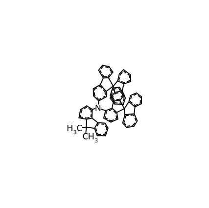 CC1(C)c2ccccc2-c2c(N(c3ccc4c(c3)C3(c5ccccc5-c5ccccc53)c3ccccc3-4)c3cccc4c3-c3ccccc3C43c4ccccc4-c4ccccc43)cccc21